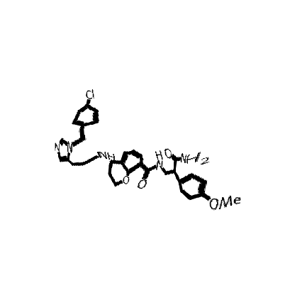 COc1ccc(C(CNC(=O)c2cccc3c2OCCC3NCc2cncn2Cc2ccc(Cl)cc2)C(N)=O)cc1